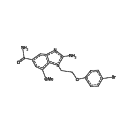 COc1cc(C(N)=O)cc2nc(N)n(CCOc3ccc(Br)cc3)c12